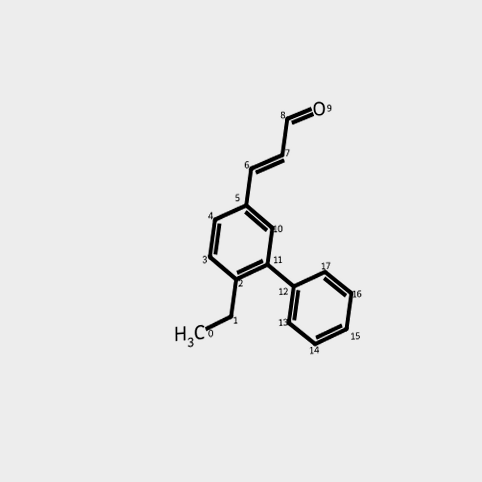 CCc1ccc(C=CC=O)cc1-c1ccccc1